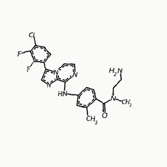 Cc1cc(Nc2nccn3c(-c4ccc(Cl)c(F)c4F)cnc23)ccc1C(=O)N(C)CCN